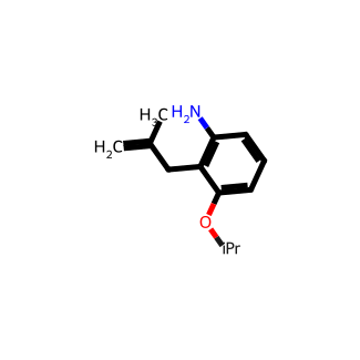 C=C(C)Cc1c(N)cccc1OC(C)C